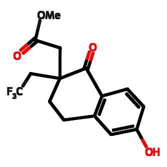 COC(=O)CC1(CC(F)(F)F)CCc2cc(O)ccc2C1=O